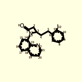 O=C1CC(CCc2ccccc2I)N1c1cccc2cccnc12